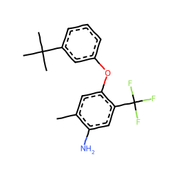 Cc1cc(Oc2cccc(C(C)(C)C)c2)c(C(F)(F)F)cc1N